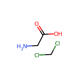 ClCCl.NCC(=O)O